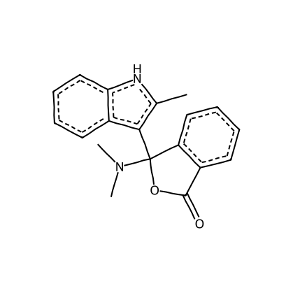 Cc1[nH]c2ccccc2c1C1(N(C)C)OC(=O)c2ccccc21